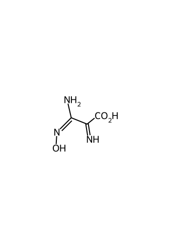 N=C(C(=O)O)/C(N)=N\O